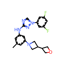 Cc1cc(Nc2ncn(-c3cc(F)cc(F)c3)n2)cc(N2CC(C3COC3)C2)c1